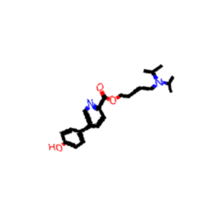 CC(C)N(CCCCOC(=O)c1ccc(-c2ccc(O)cc2)cn1)C(C)C